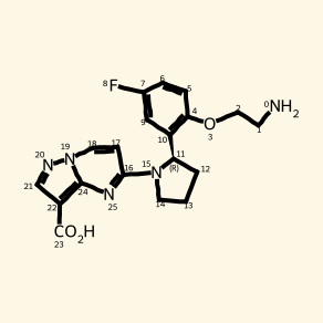 NCCOc1ccc(F)cc1[C@H]1CCCN1c1ccn2ncc(C(=O)O)c2n1